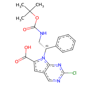 CC(C)(C)OC(=O)NC[C@H](c1ccccc1)n1c(C(=O)O)cc2cnc(Cl)nc21